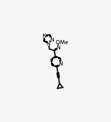 CO/N=C(\Cn1cncn1)c1ccc(C#CC2CC2)nc1